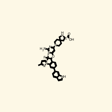 Cc1ccn(-c2cc(-c3ccc4cc[nH]c4c3)ccc2C(Oc2cc(N3CCC4(CC3)CN[C@H](C(=O)O)C4)nc(N)n2)C(F)(F)F)n1